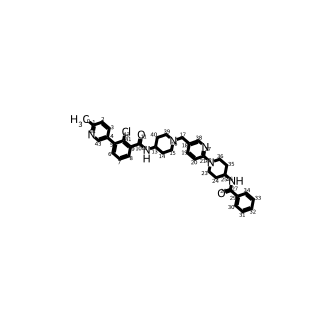 Cc1ccc(-c2cccc(C(=O)NC3CCN(Cc4ccc(N5CCC(NC(=O)c6ccccc6)CC5)nc4)CC3)c2Cl)cn1